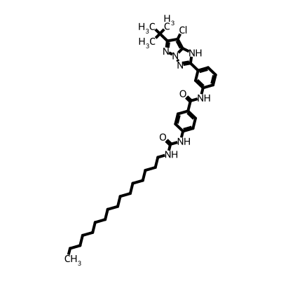 CCCCCCCCCCCCCCCCNC(=O)Nc1ccc(C(=O)Nc2cccc(-c3nn4nc(C(C)(C)C)c(Cl)c4[nH]3)c2)cc1